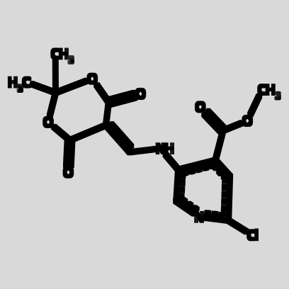 COC(=O)c1cc(Cl)ncc1NC=C1C(=O)OC(C)(C)OC1=O